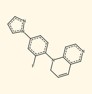 Fc1cc(-n2cccn2)ccc1N1CC=Cc2cnccc21